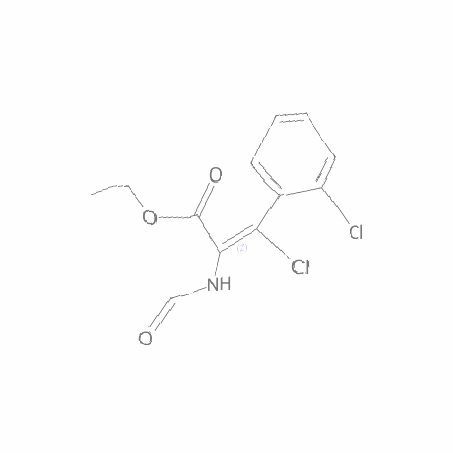 CCOC(=O)/C(NC=O)=C(/Cl)c1ccccc1Cl